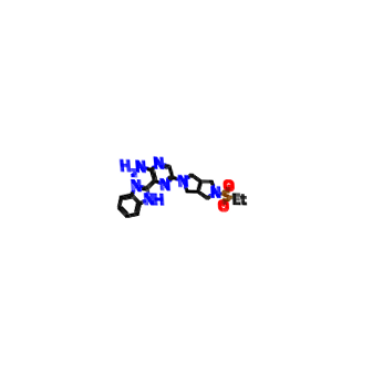 CCS(=O)(=O)N1CC2CN(c3cnc(N)c(-c4nc5ccccc5[nH]4)n3)CC2C1